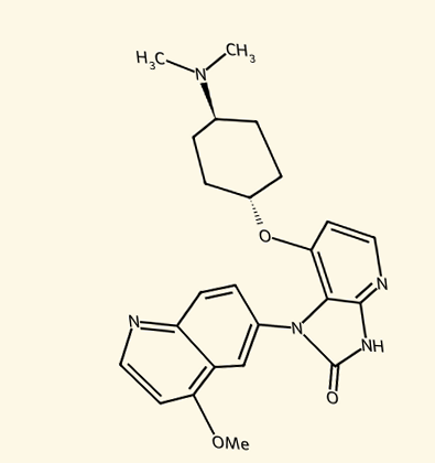 COc1ccnc2ccc(-n3c(=O)[nH]c4nccc(O[C@H]5CC[C@H](N(C)C)CC5)c43)cc12